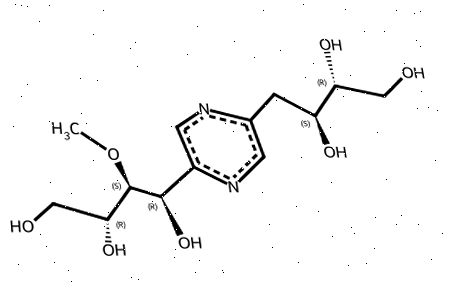 CO[C@H]([C@H](O)CO)[C@H](O)c1cnc(C[C@H](O)[C@H](O)CO)cn1